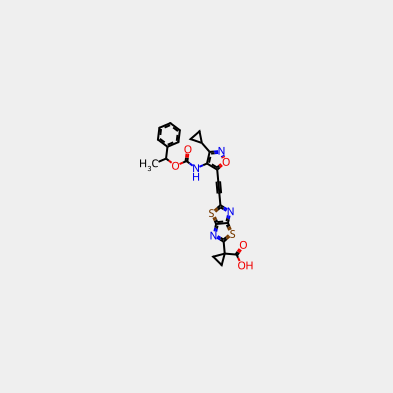 CC(OC(=O)Nc1c(C2CC2)noc1C#Cc1nc2sc(C3(C(=O)O)CC3)nc2s1)c1ccccc1